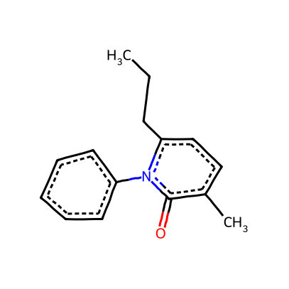 CCCc1ccc(C)c(=O)n1-c1ccccc1